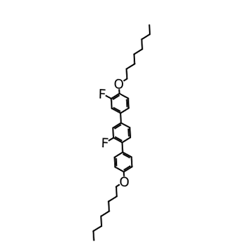 CCCCCCCCOc1ccc(-c2ccc(-c3ccc(OCCCCCCCC)c(F)c3)cc2F)cc1